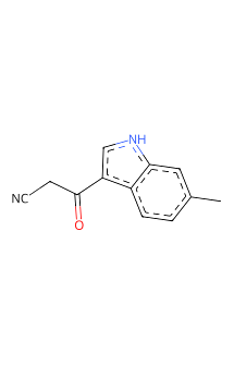 Cc1ccc2c(C(=O)CC#N)c[nH]c2c1